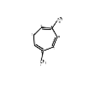 CCCC1=CCC=C(C(F)(F)F)C=C1